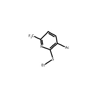 CCSc1nc(C(F)(F)F)ccc1C(C)=O